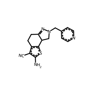 N#Cc1c(N)sc2c1CCC1=NN(Cc3ccncc3)CC12